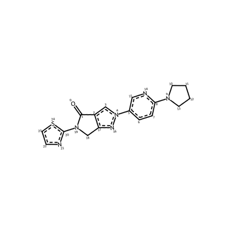 O=C1c2cn(-c3ccc(N4CCCC4)nc3)nc2CN1c1nccs1